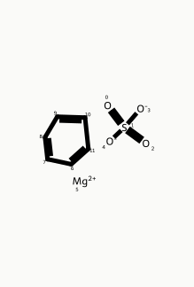 O=S(=O)([O-])[O-].[Mg+2].c1ccccc1